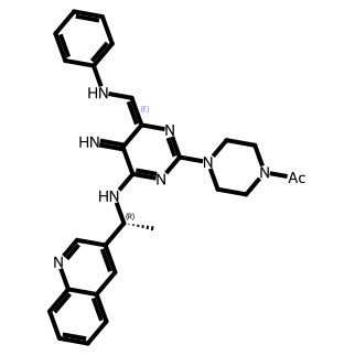 CC(=O)N1CCN(C2=N/C(=C/Nc3ccccc3)C(=N)C(N[C@H](C)c3cnc4ccccc4c3)=N2)CC1